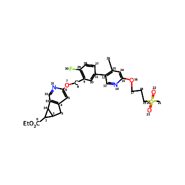 CCOC(=O)C1C2Cc3cc(OCc4cc(-c5cnc(OCCCS(C)(=O)=O)cc5C)ccc4F)ncc3C21